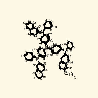 CC1C=Cc2cc(N(c3ccccc3)c3ccc(N(c4ccc(N(C5=CCC6C=CC=CC6=C5)c5ccccc5)cc4)c4ccc(N(c5ccccc5)c5ccc6ccccc6c5)cc4)cc3)ccc2C1